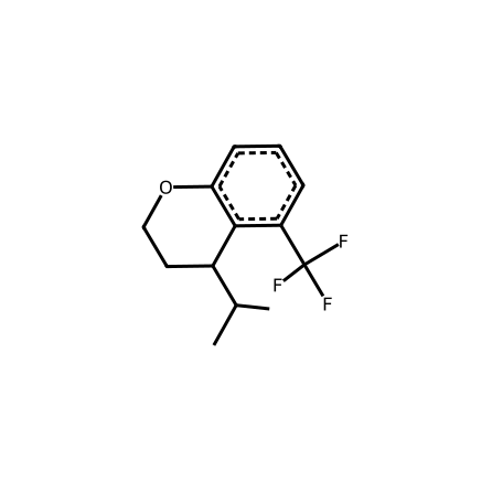 CC(C)C1CCOc2cccc(C(F)(F)F)c21